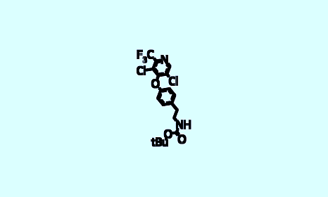 CC(C)(C)OC(=O)NCCc1ccc(Oc2c(Cl)cnc(C(F)(F)F)c2Cl)cc1